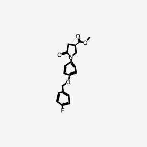 COC(=O)[C@@H]1CC(=O)N(c2ccc(OCc3ccc(F)cc3)cc2)C1